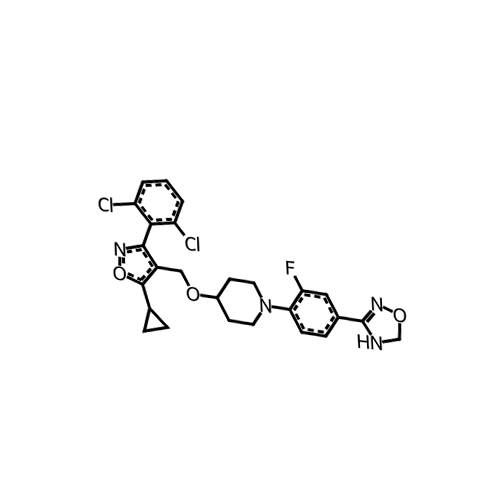 Fc1cc(C2=NOCN2)ccc1N1CCC(OCc2c(-c3c(Cl)cccc3Cl)noc2C2CC2)CC1